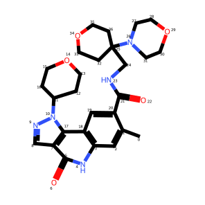 Cc1cc2[nH]c(=O)c3cnn(C4CCOCC4)c3c2cc1C(=O)NCC1(N2CCOCC2)CCOCC1